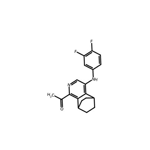 CC(=O)c1ncc(Nc2ccc(F)c(F)c2)c2c1C1CCC2CC1